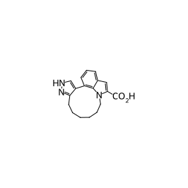 O=C(O)c1cc2cccc3c2n1CCCCCCc1n[nH]cc1-3